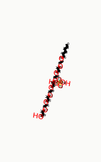 CCCCCCOCCOCCOCCOCCOCCOCCOCCOCCO.O=S(=O)(O)O